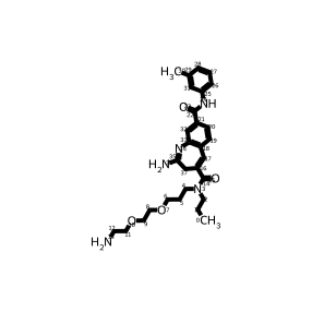 CCCN(CCCOCCOCCN)C(=O)C1=Cc2ccc(C(=O)Nc3cccc(C)c3)cc2N=C(N)C1